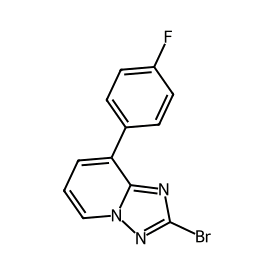 Fc1ccc(-c2cccn3nc(Br)nc23)cc1